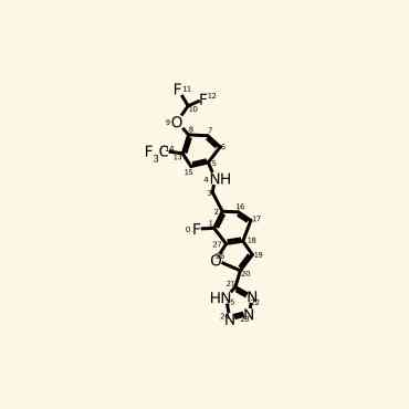 Fc1c(CNc2ccc(OC(F)F)c(C(F)(F)F)c2)ccc2cc(-c3nnn[nH]3)oc12